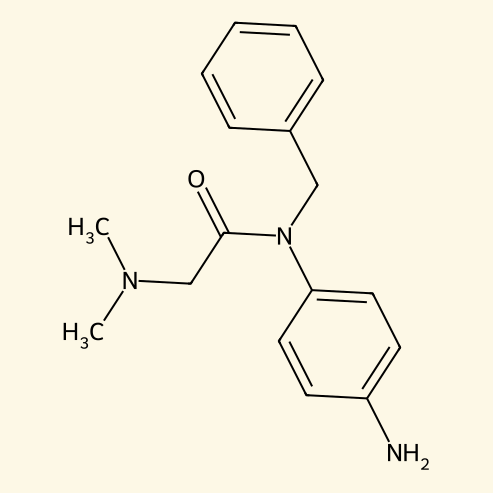 CN(C)CC(=O)N(Cc1ccccc1)c1ccc(N)cc1